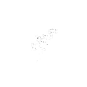 CCCCCCCCCCCCOS(=O)(=O)O.OCCNCCO.OCCO